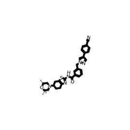 C[C@@H]1CN(C2CCc3nc(NC(=O)c4cccc(Cn5cc(-c6ccc(C#N)cc6)cn5)c4)sc3C2)C[C@H](C)O1